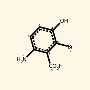 Nc1ccc(O)c(Br)c1C(=O)O